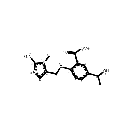 COC(=O)c1cc(C(C)O)ccc1OCc1cnc([N+](=O)[O-])n1C